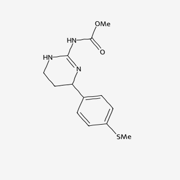 COC(=O)NC1=NC(c2ccc(SC)cc2)CCN1